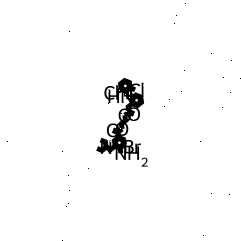 CCN(CC)Cc1cc(C(=O)OCCOC(=O)Cc2ccccc2Nc2c(Cl)cccc2Cl)cc(Br)c1N